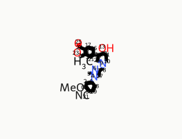 COc1cc(-n2cnc(CN3CC[C@@H](O)[C@H](c4ccc5c(c4C)COC5=O)C3)c2)ccc1C#N